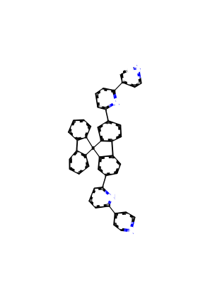 c1cc(-c2ccncc2)nc(-c2ccc3c(c2)C2(c4ccccc4-c4ccccc42)c2cc(-c4cccc(-c5ccncc5)n4)ccc2-3)c1